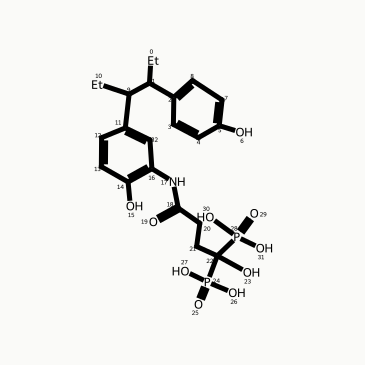 CCC(c1ccc(O)cc1)C(CC)c1ccc(O)c(NC(=O)CCC(O)(P(=O)(O)O)P(=O)(O)O)c1